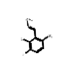 CO/N=C/c1c(C(F)(F)F)ccc(Br)c1Cl